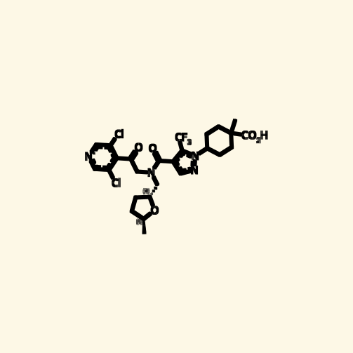 C[C@H]1CC[C@H](CN(CC(=O)c2c(Cl)cncc2Cl)C(=O)c2cnn(C3CCC(C)(C(=O)O)CC3)c2C(F)(F)F)O1